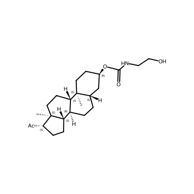 CC(=O)[C@H]1CC[C@H]2[C@@H]3CC[C@H]4C[C@H](OC(=O)NCCO)CC[C@]4(C)[C@H]3CC[C@]12C